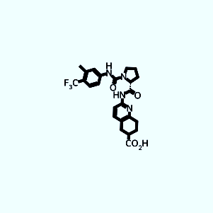 Cc1cc(NC(=O)N2CCC[C@@H]2C(=O)Nc2ccc3c(n2)CCC(C(=O)O)C3)ccc1C(F)(F)F